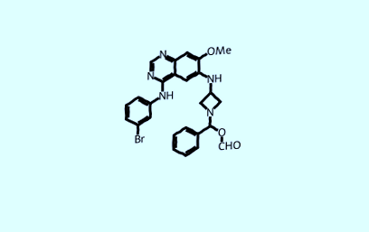 COc1cc2ncnc(Nc3cccc(Br)c3)c2cc1NC1CN(C(OC=O)c2ccccc2)C1